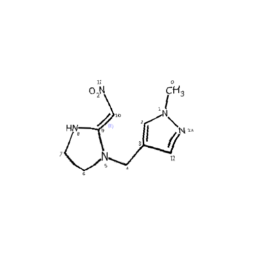 Cn1cc(CN2CCN/C2=C\[N+](=O)[O-])cn1